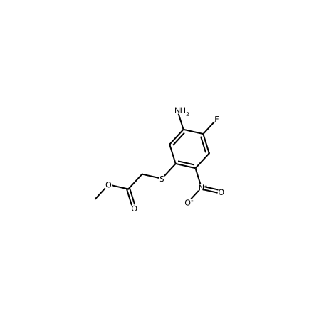 COC(=O)CSc1cc(N)c(F)cc1[N+](=O)[O-]